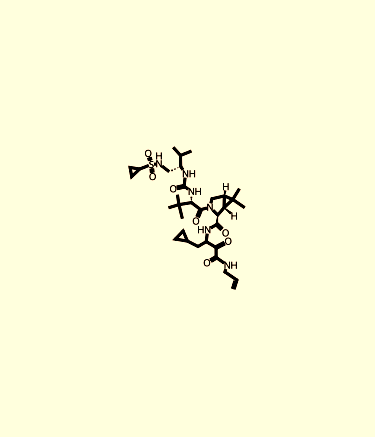 C=CCNC(=O)C(=O)C(CC1CC1)NC(=O)[C@@H]1[C@@H]2[C@H](CN1C(=O)[C@@H](NC(=O)N[C@H](CNS(=O)(=O)C1CC1)C(C)C)C(C)(C)C)C2(C)C